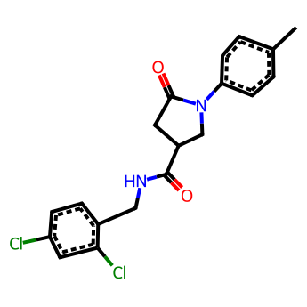 Cc1ccc(N2CC(C(=O)NCc3ccc(Cl)cc3Cl)CC2=O)cc1